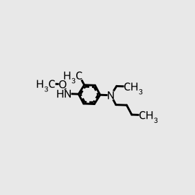 CCCCN(CC)c1ccc(NOC)c(C)c1